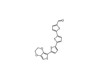 O=Cc1ccc(-c2ccc(-c3ccc(-c4scc5c4OCCO5)s3)s2)s1